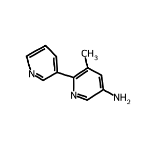 Cc1cc(N)cnc1-c1cccnc1